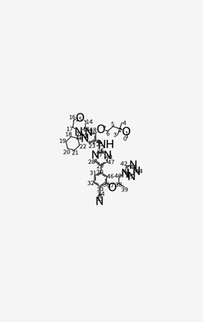 COC(C)(C)CCOc1nn(C2(N3CCOCC3)CCCCC2)cc1Nc1ncc(-c2ccc(C#N)c(OC(C)Cn3cnnn3)c2)cn1